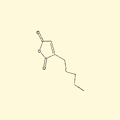 CCCCCC1=CC(=O)OC1=O